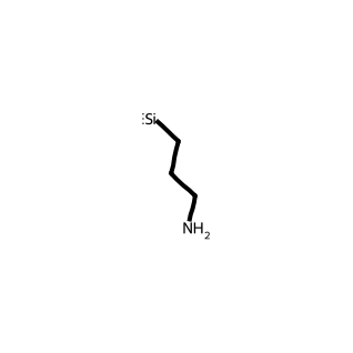 NCCC[Si]